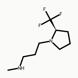 CNCCCN1CCC[C@@H]1C(F)(F)F